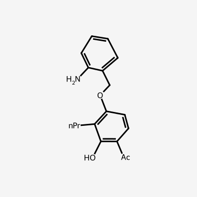 CCCc1c(OCc2ccccc2N)ccc(C(C)=O)c1O